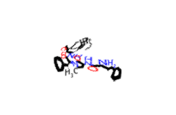 CC(C)C[C@H](NC(=O)[C@H](Cc1ccccc1)N1C(=O)[C@@H](NC(=O)[C@@H](N)CCc2ccccc2)CC1C)C(=O)[C@@]1(C)CO1